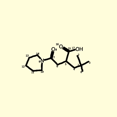 CC(C)(C)CC(CC(=O)N1CCCCC1)C(=O)O